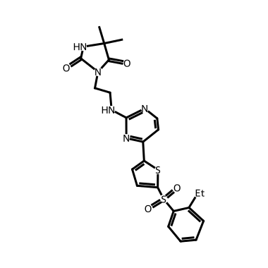 CCc1ccccc1S(=O)(=O)c1ccc(-c2ccnc(NCCN3C(=O)NC(C)(C)C3=O)n2)s1